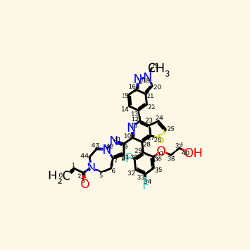 C=CC(=O)N1CCc2cc(-c3nc(-c4ccc5nn(C)cc5c4)c4ccsc4c3-c3c(F)cc(F)cc3OCCO)nn2CC1